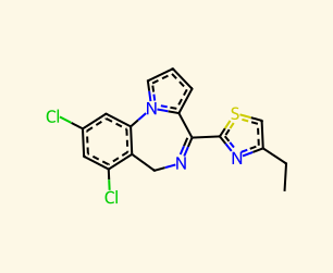 CCc1csc(C2=NCc3c(Cl)cc(Cl)cc3-n3cccc32)n1